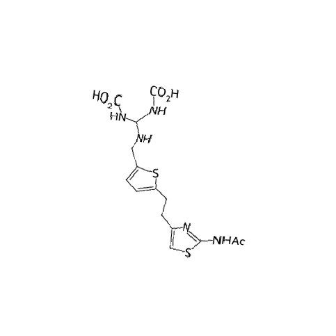 CC(=O)Nc1nc(CCc2ccc(CNC(NC(=O)O)NC(=O)O)s2)cs1